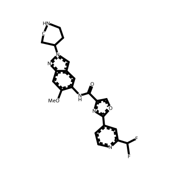 COc1cc2nn(C3CCNCC3)cc2cc1NC(=O)c1coc(-c2ccnc(C(F)F)c2)n1